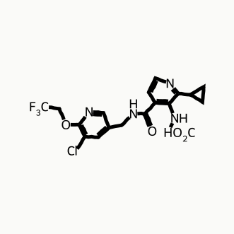 O=C(O)Nc1c(C(=O)NCc2cnc(OCC(F)(F)F)c(Cl)c2)ccnc1C1CC1